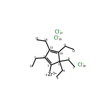 CCC1=[C]([Zr+3])C(CC)(CC)C(CC)=C1CC.[Cl-].[Cl-].[Cl-]